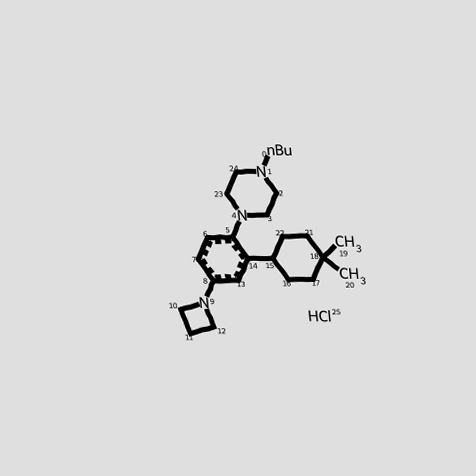 CCCCN1CCN(c2ccc(N3CCC3)cc2C2CCC(C)(C)CC2)CC1.Cl